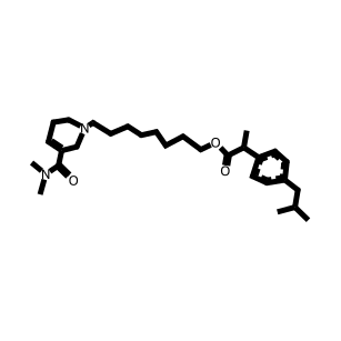 CC(C)Cc1ccc(C(C)C(=O)OCCCCCCCCN2CCC=C(C(=O)N(C)C)C2)cc1